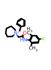 Cc1cc(F)cc(C)c1NC(=O)C[N+]1(Cc2ccccc2)CCCCCC1